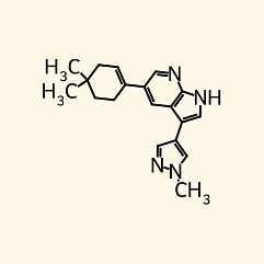 Cn1cc(-c2c[nH]c3ncc(C4=CCC(C)(C)CC4)cc23)cn1